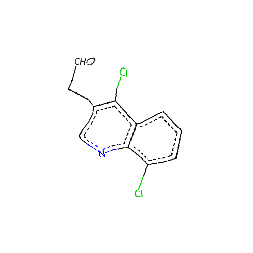 O=CCc1cnc2c(Cl)cccc2c1Cl